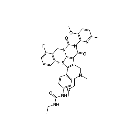 CCNC(=O)Nc1ccc(-c2sc3c(c2CN(C)CCOC)c(=O)n(-c2nc(C)ccc2OC)c(=O)n3Cc2c(F)cccc2F)cc1